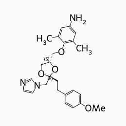 COc1ccc(CC[C@@]2(Cn3ccnc3)OC[C@H](COc3c(C)cc(N)cc3C)O2)cc1